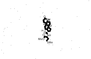 COC(=O)C(CCSC)NC(=O)[C@H]1CC[C@H]2[C@@H]3CC[C@@H]4NC(=O)C=C[C@@]4(C)[C@H]3CC[C@]12C